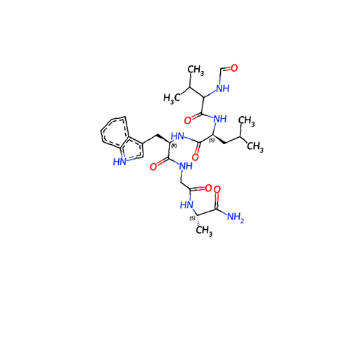 CC(C)C[C@H](NC(=O)C(NC=O)C(C)C)C(=O)N[C@H](Cc1c[nH]c2ccccc12)C(=O)NCC(=O)N[C@@H](C)C(N)=O